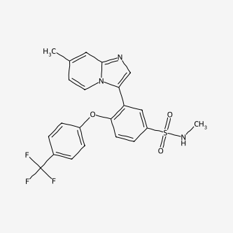 CNS(=O)(=O)c1ccc(Oc2ccc(C(F)(F)F)cc2)c(-c2cnc3cc(C)ccn23)c1